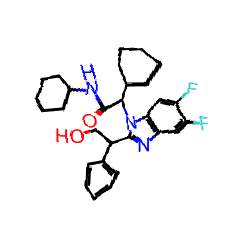 O=C(NC1CCCCC1)C(C1CCCCC1)n1c(C(CO)c2ccccc2)nc2cc(F)c(F)cc21